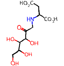 O=C(O)CC(NCC(=O)C(O)C(O)C(O)CO)C(=O)O